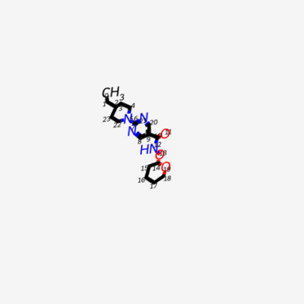 CCC1CCN(c2ncc(C(=O)NOC3CCCCO3)cn2)CC1